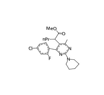 CCCC(C(=O)OC)c1c(C)nc(N2CCCCC2)nc1-c1ccc(Cl)cc1F